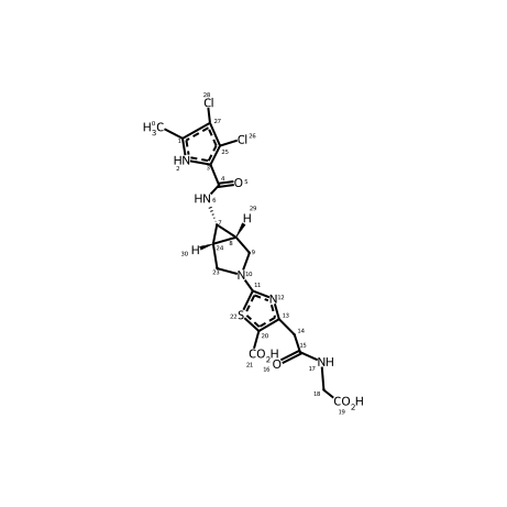 Cc1[nH]c(C(=O)N[C@@H]2[C@@H]3CN(c4nc(CC(=O)NCC(=O)O)c(C(=O)O)s4)C[C@@H]32)c(Cl)c1Cl